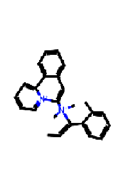 C/C=C(/c1ccccc1C)[N+](C)(C)c1cc2ccccc2c2cccc[n+]12